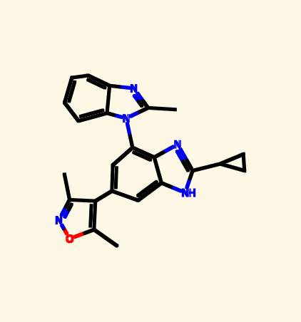 Cc1noc(C)c1-c1cc(-n2c(C)nc3ccccc32)c2nc(C3CC3)[nH]c2c1